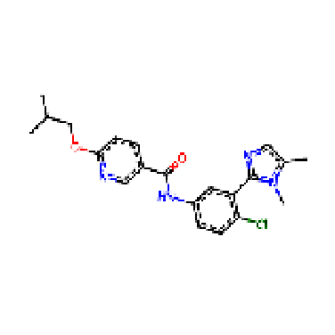 Cc1cnc(-c2cc(NC(=O)c3ccc(OCC(C)C)nc3)ccc2Cl)n1C